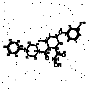 CN1CC(Oc2cccc(F)c2)CC(C(=O)NO)C1C(=O)N1CCN(c2ccccc2)CC1